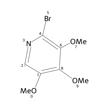 COc1[c]nc(Br)c(OC)c1OC